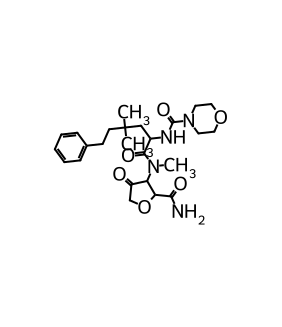 CN(C(=O)C(CC(C)(C)CCc1ccccc1)NC(=O)N1CCOCC1)C1C(=O)COC1C(N)=O